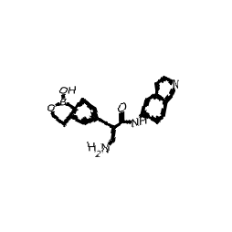 NCC(C(=O)Nc1ccc2cnccc2c1)c1ccc2c(c1)CCOB2O